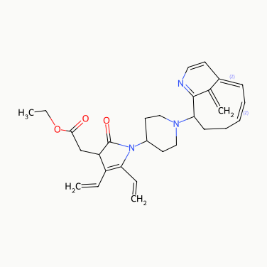 C=CC1=C(C=C)N(C2CCN(C3CC/C=C\C=c4\ccnc3c4=C)CC2)C(=O)C1CC(=O)OCC